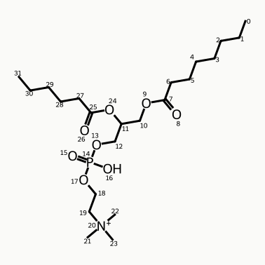 CCCCCCCC(=O)OCC(COP(=O)(O)OCC[N+](C)(C)C)OC(=O)CCCCC